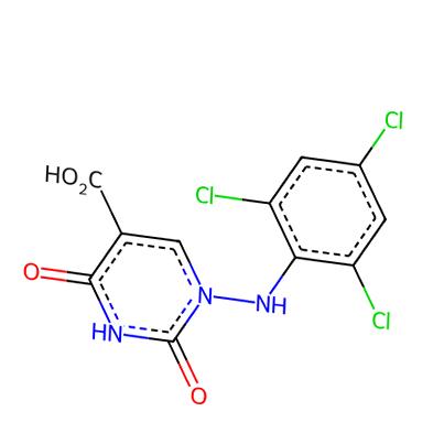 O=C(O)c1cn(Nc2c(Cl)cc(Cl)cc2Cl)c(=O)[nH]c1=O